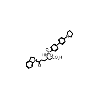 O=C(O)CC(CCC(=O)N1CCc2ccccc21)NS(=O)(=O)c1ccc(-c2ccc(N3CCCC3)cc2)cc1